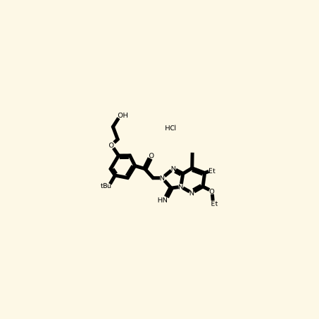 CCOc1nn2c(=N)n(CC(=O)c3cc(OCCO)cc(C(C)(C)C)c3)nc2c(C)c1CC.Cl